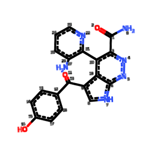 NC(=O)c1nnc2[nH]cc(C(=O)c3ccc(O)cc3)c2c1-c1ncccc1N